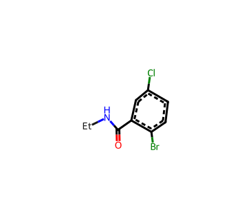 CCNC(=O)c1cc(Cl)ccc1Br